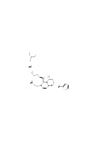 CO[C@H]1C[C@H]2C=C[C@]3(C)[C@H]4[C@H](O)[C@@H](C)[C@@H](OC(=O)c5ccc[nH]5)[C@@H]3O[C@@]24/C(C)=C/[C@@H](C)[C@@H]([C@@H](C)OC(=O)OCC(CO)CO)OC1=O